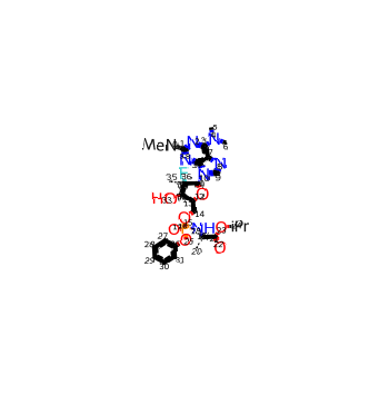 CNc1nc(N(C)C)c2ncn([C@@H]3OC(COP(=O)(N[C@@H](C)C(=O)OC(C)C)Oc4ccccc4)[C@@H](O)[C@@]3(C)F)c2n1